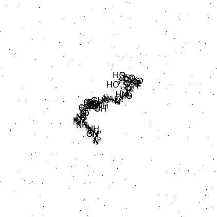 C[N+](C)(C)CC[N+](C)(C)CC(=O)NCC#Cc1cn([C@H]2C[C@@H](O)[C@@H](COP(=O)(O)OP(=O)(O)OP(=O)(O)NCCC[N+](C)(C)CCCC[N+](C)(C)CCCNC(=O)c3ccc(-c4c5cc(F)c(=O)cc-5oc5cc(O)c(F)cc45)c(S(=O)(=O)O)c3)O2)c2ncnc(N)c12